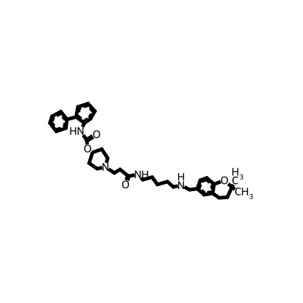 CC1(C)CCc2cc(CNCCCCCNC(=O)CCN3CCC(OC(=O)Nc4ccccc4-c4ccccc4)CC3)ccc2O1